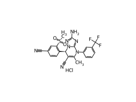 CC1=C(C#N)[C@@H](c2ccc(C#N)cc2S(C)(=O)=O)n2nc(N)nc2N1c1cccc(C(F)(F)F)c1.Cl